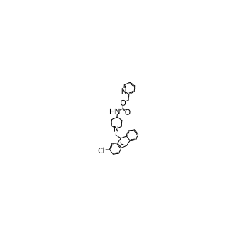 O=C(NC1CCN(CC23CC(c4ccccc42)c2ccc(Cl)cc23)CC1)OCc1ccccn1